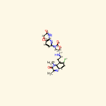 Cc1nc2ccc(F)c(CCNC[C@@H]3CN(c4ccc5c(n4)NC(=O)CO5)C(=O)O3)c2n(C)c1=O